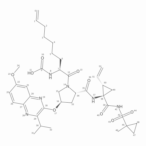 C=CCCCCC[C@H](NC(=O)O)C(=O)N1C[C@H](Oc2nc3cc(OC)ccc3nc2C(C)C)C[C@H]1C(=O)N[C@]1(C(=O)NS(=O)(=O)C2(C)CC2)C[C@H]1C=C